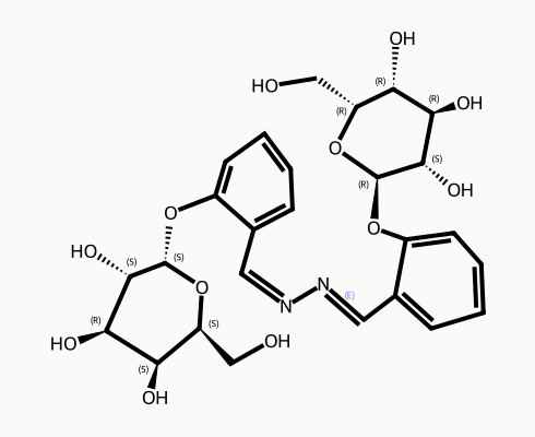 OC[C@@H]1O[C@@H](Oc2ccccc2C=N/N=C/c2ccccc2O[C@H]2O[C@H](CO)[C@H](O)[C@@H](O)[C@@H]2O)[C@@H](O)[C@H](O)[C@@H]1O